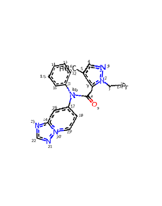 CC(C)Cn1ncc(C(=O)O)c1C(=O)N(c1ccccc1)c1ccn2ncnc2c1